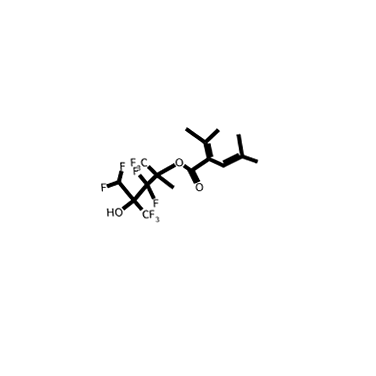 CC(C)=CC(C(=O)OC(C)(C(F)(F)F)C(F)(F)C(O)(C(F)F)C(F)(F)F)=C(C)C